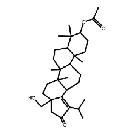 CC(=O)OC1CCC2(C)C(CCC3(C)C2CCC2C4=C(C(C)C)C(=O)CC4(CO)CCC23C)C1(C)C